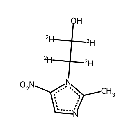 [2H]C([2H])(O)C([2H])([2H])n1c([N+](=O)[O-])cnc1C